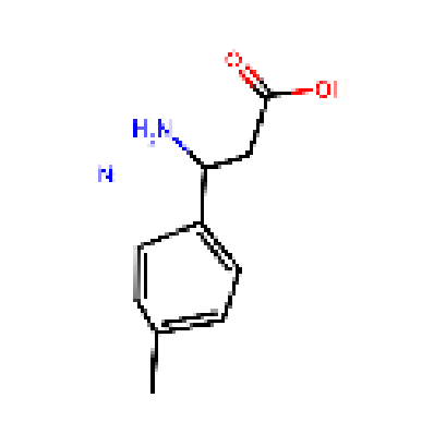 Cc1ccc(C(N)CC(=O)O)cc1.[N]